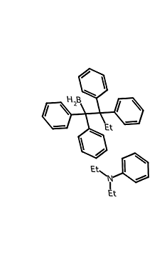 BC(c1ccccc1)(c1ccccc1)C(CC)(c1ccccc1)c1ccccc1.CCN(CC)c1ccccc1